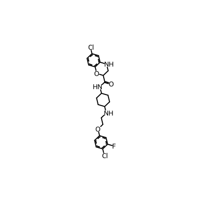 O=C(NC1CCC(NCCOc2ccc(Cl)c(F)c2)CC1)C1CNc2cc(Cl)ccc2O1